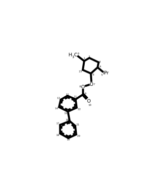 CC1CCC(C(C)C)[C](OOC(=O)c2cccc(-c3ccccc3)c2)C1